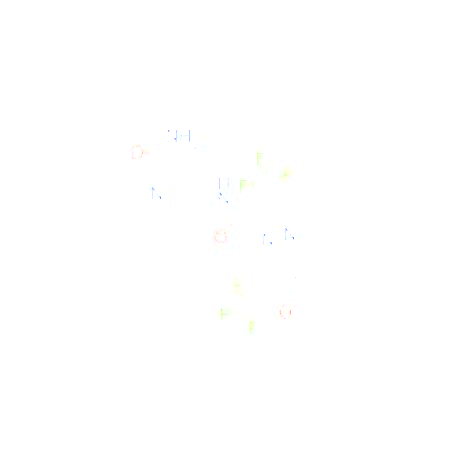 NC(=O)c1cc(NC(=O)c2c(C(F)(F)F)c(C3CC3)nn2CC2CCOC2C(F)(F)F)ccn1